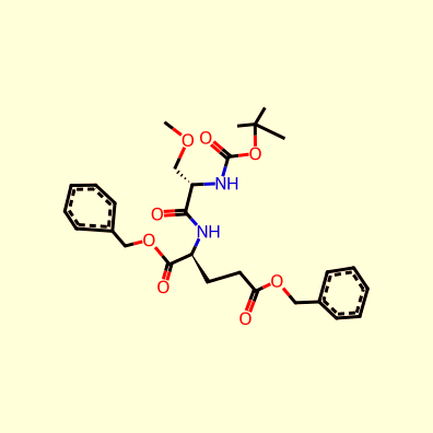 COC[C@H](NC(=O)OC(C)(C)C)C(=O)N[C@@H](CCC(=O)OCc1ccccc1)C(=O)OCc1ccccc1